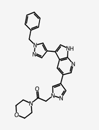 O=C(Cn1cc(-c2cnc3[nH]cc(-c4cnn(Cc5ccccc5)c4)c3c2)cn1)N1CCOCC1